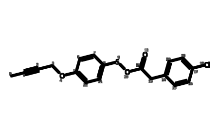 CC#CCOc1ccc(SOC(=O)Cc2ccc(Cl)cc2)cc1